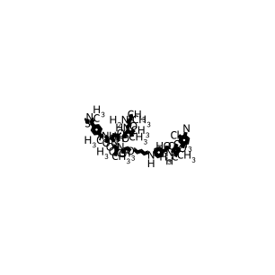 Cc1ncsc1-c1ccc([C@H](C)NC(=O)[C@@H]2C[C@@H](OC(=O)[C@@H](NC(=O)[C@@H](N)C(C)C)C(C)C)CN2C(=O)[C@@H](NC(=O)COCCCCCNc2ccc(C(=O)N[C@H]3C(C)(C)[C@H](Oc4ccc(C#N)c(Cl)c4)C3(C)C)cc2)C(C)(C)C)cc1